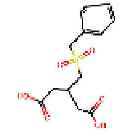 O=C(O)CC(CC(=O)O)CS(=O)(=O)Cc1ccccc1